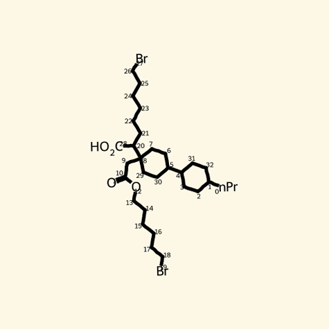 CCCC1CCC(C2CCC(CC(=O)OCCCCCCBr)(C(CCCCCCBr)C(=O)O)CC2)CC1